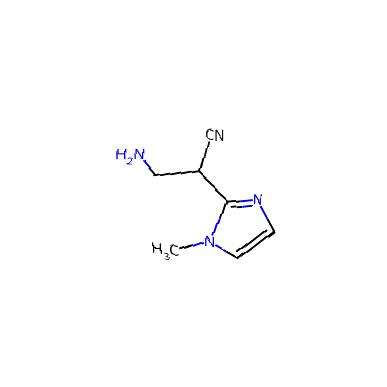 Cn1ccnc1C(C#N)CN